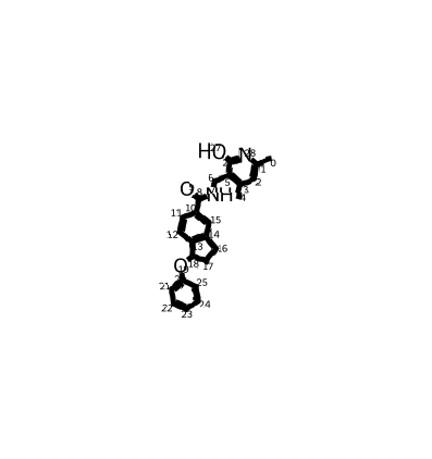 Cc1cc(C)c(CNC(=O)c2ccc3c(c2)CCC3Oc2ccccc2)c(O)n1